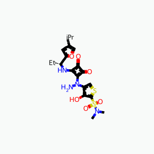 CC[C@@H](Nc1c(N(N)c2csc(S(=O)(=O)N(C)C)c2O)c(=O)c1=O)c1cc(C(C)C)co1